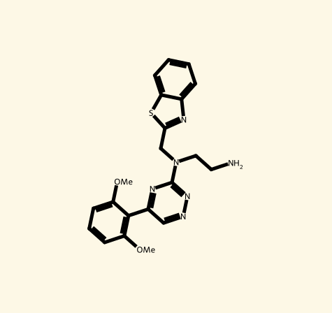 COc1cccc(OC)c1-c1cnnc(N(CCN)Cc2nc3ccccc3s2)n1